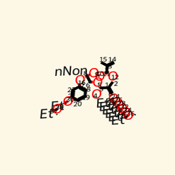 C=C(C)C(=O)OCC(CCCCCCCCC)(OOC(=O)C(=C)C)Oc1ccccc1.[CH2]C[O].[CH2]C[O].[CH2]C[O].[CH2]C[O].[CH2]C[O].[CH2]C[O].[CH2]C[O].[CH2]C[O]